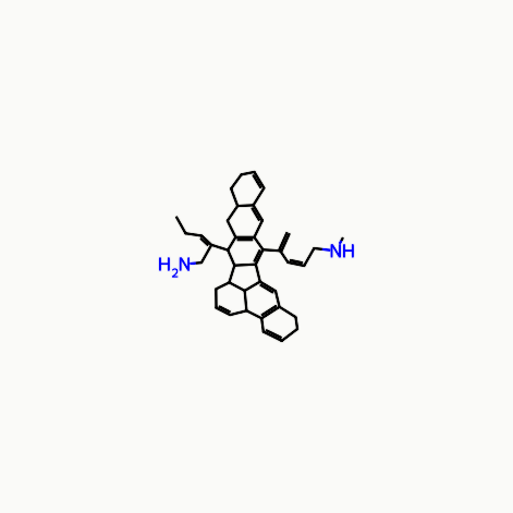 C=C(/C=C\CNC)C1=C2C3=CC4=C(C=CCC4)C4C=CCC(C34)C2C(/C(=C/CC)CN)C2=C1C=C1C=CCCC1C2